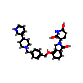 O=C1CCC(N2Cc3c(OCc4ccc(CN5CCC(c6cccnc6)CC5)cc4)cccc3C2=O)C(=O)N1